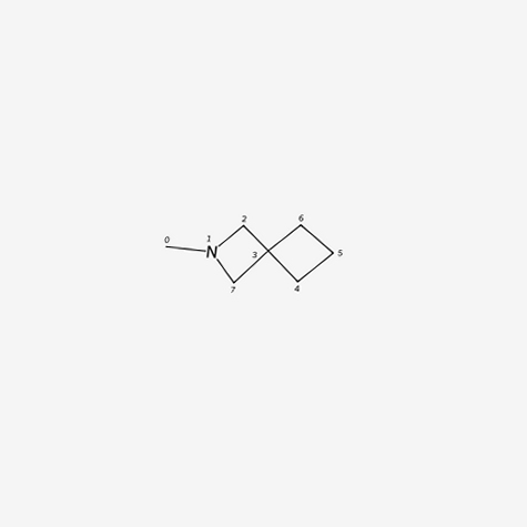 CN1CC2(CCC2)C1